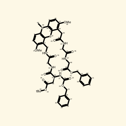 COc1ccc2c(c1CNC(=O)CNC(=O)[C@H](CC(=O)OC(C)(C)C)NC(=O)OCc1ccccc1)Sc1c(ccc(OC)c1CC(=O)NCC(=O)NCC(=O)OCc1ccccc1)N2C